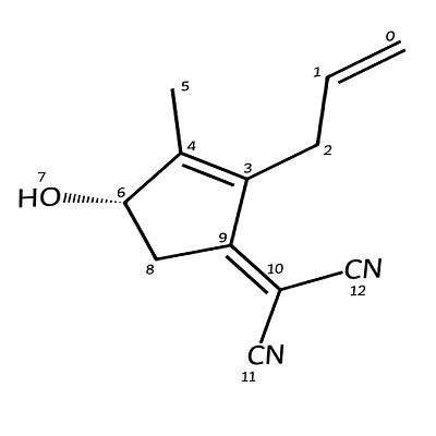 C=CCC1=C(C)[C@@H](O)CC1=C(C#N)C#N